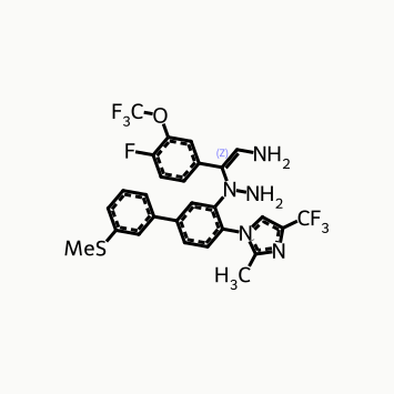 CSc1cccc(-c2ccc(-n3cc(C(F)(F)F)nc3C)c(N(N)/C(=C\N)c3ccc(F)c(OC(F)(F)F)c3)c2)c1